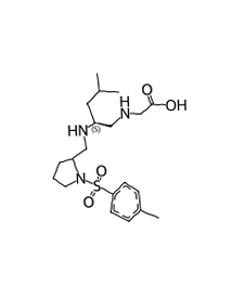 Cc1ccc(S(=O)(=O)N2CCCC2CN[C@H](CNCC(=O)O)CC(C)C)cc1